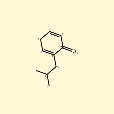 CC(C)CC1=CCC=CC1=O